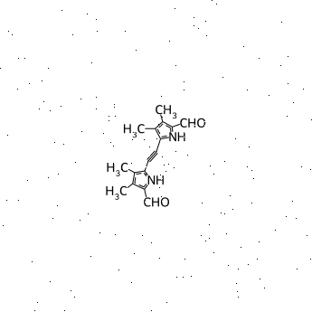 Cc1c(C#Cc2[nH]c(C=O)c(C)c2C)[nH]c(C=O)c1C